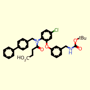 CC(C)(C)OC(=O)NCc1cccc(Oc2cc(Cl)ccc2N(Cc2ccc(-c3ccccc3)cc2)C(=O)CCC(=O)O)c1